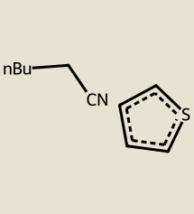 CCCCCC#N.c1ccsc1